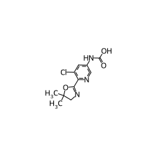 CC1(C)CN=C(c2ncc(NC(=O)O)cc2Cl)O1